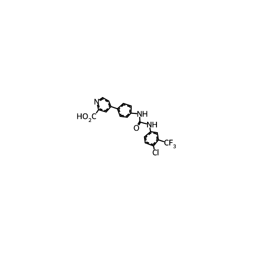 O=C(Nc1ccc(-c2ccnc(C(=O)O)c2)cc1)Nc1ccc(Cl)c(C(F)(F)F)c1